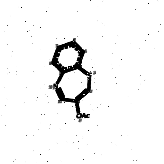 CC(=O)OC1=CSc2ccccc2N=C1